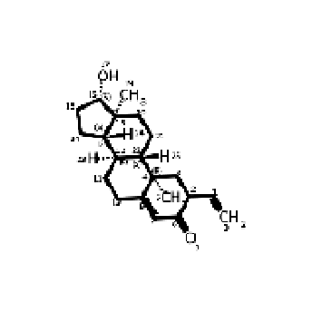 C=CC1C[C@@]2(C)C(=CC1=O)CC[C@H]1[C@@H]3CC[C@H](O)[C@@]3(C)CC[C@@H]12